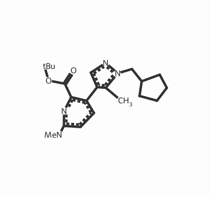 CNc1ccc(-c2cnn(CC3CCCC3)c2C)c(C(=O)OC(C)(C)C)n1